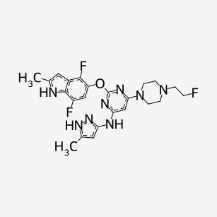 Cc1cc(Nc2cc(N3CCN(CCF)CC3)nc(Oc3cc(F)c4[nH]c(C)cc4c3F)n2)n[nH]1